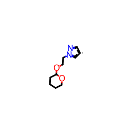 [c]1cnn(CCOC2CCCCO2)c1